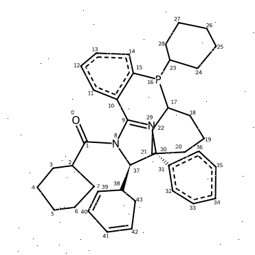 O=C(C1CCCCC1)N1C(c2ccccc2P(C2CCCCC2)C2CCCCC2)=N[C@H](c2ccccc2)[C@H]1C1C=CC=CC1